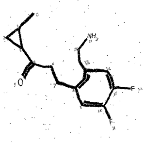 CC1CC1C(=O)CCc1cc(F)c(F)cc1CN